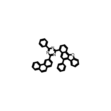 c1ccc(-c2nc(-c3ccc4ccc5ccccc5c4c3)nc(-c3cccc4c3cc(-c3ccccc3)c3c5ccccc5oc43)n2)cc1